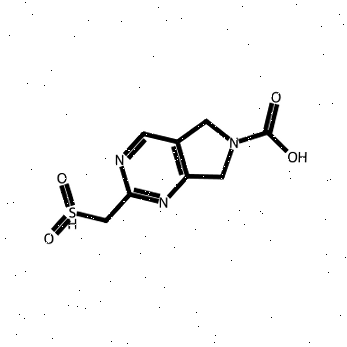 O=C(O)N1Cc2cnc(C[SH](=O)=O)nc2C1